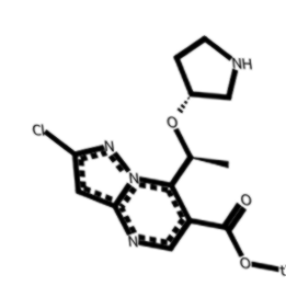 C[C@H](O[C@@H]1CCNC1)c1c(C(=O)OC(C)(C)C)cnc2cc(Cl)nn12